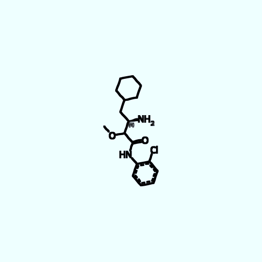 COC(C(=O)Nc1ccccc1Cl)[C@H](N)CC1CCCCC1